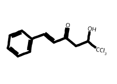 O=C(/C=C/c1ccccc1)CC(O)C(Cl)(Cl)Cl